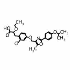 CCOC(Cc1ccc(OCc2nc(-c3ccc(OC(C)C)cc3)oc2C)cc1Cl)C(=O)O